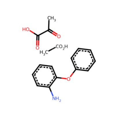 CC(=O)C(=O)O.CC(=O)O.Nc1ccccc1Oc1ccccc1